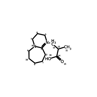 C1CCC2=NCCCN2CC1.CC(C)C(=O)O